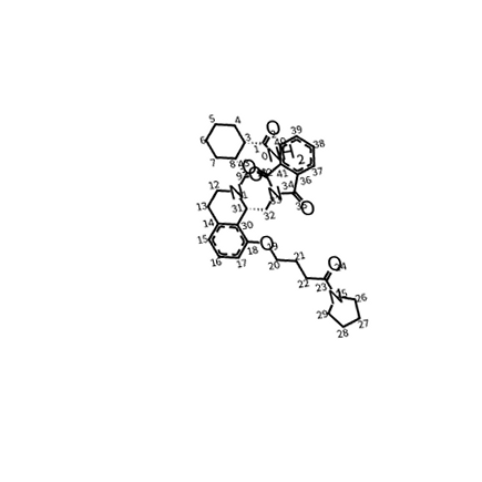 NC(=O)[C@H]1CCCC[C@H]1C(=O)N1CCc2cccc(OCCCC(=O)N3CCCC3)c2[C@H]1CN1C(=O)c2ccccc2C1=O